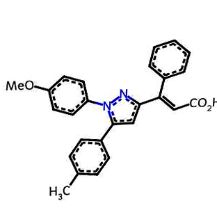 COc1ccc(-n2nc(C(=CC(=O)O)c3ccccc3)cc2-c2ccc(C)cc2)cc1